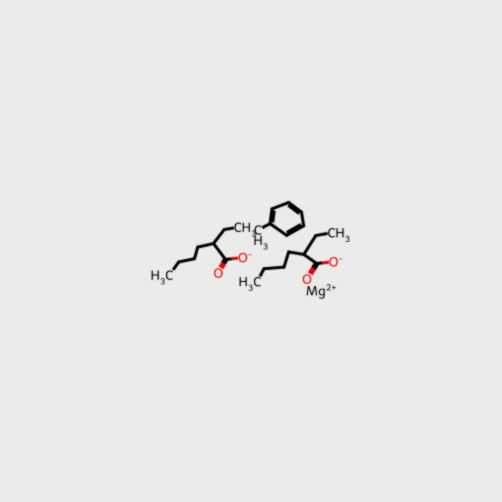 CCCCC(CC)C(=O)[O-].CCCCC(CC)C(=O)[O-].Cc1ccccc1.[Mg+2]